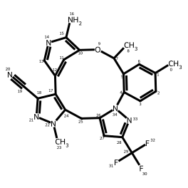 Cc1ccc2c(c1)C(C)Oc1cc(cnc1N)-c1c(C#N)nn(C)c1Cc1cc(C(F)(F)F)nn1-2